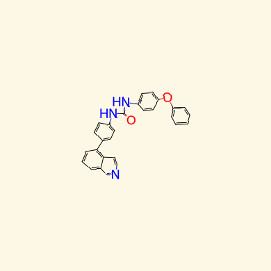 O=C(Nc1ccc(Oc2ccccc2)cc1)Nc1ccc(-c2cccc3cnccc23)cc1